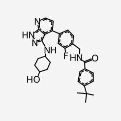 CC(C)(C)c1ccc(C(=O)NCc2ccc(-c3ccnc4[nH]nc(NC5CCC(O)CC5)c34)cc2F)cc1